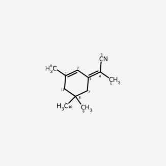 CC1=C/C(=C(/C)C#N)CC(C)(C)C1